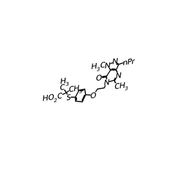 CCCc1nn(C)c2c(=O)n(CCOc3ccc(SC(C)(C)C(=O)O)cc3)c(C)nc12